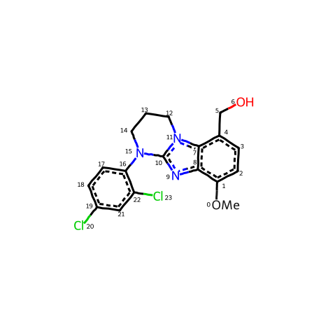 COc1ccc(CO)c2c1nc1n2CCCN1c1ccc(Cl)cc1Cl